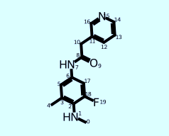 CNc1c(C)cc(NC(=O)Cc2cccnc2)cc1F